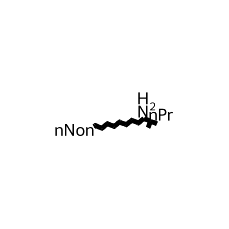 CCCCCCCCCCCCCCCCCC(N)C(C)(C)CCC